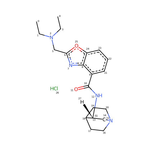 CCN(CC)Cc1nc2c(C(=O)N[C@@H]3CN4CCC3CC4)cccc2o1.Cl